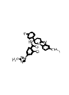 Cc1ccc2c(c1)nc1n2CC(NC(=O)c2ccc(-n3cnc(C)n3)cc2Cl)(c2ccc(F)cc2)CC1